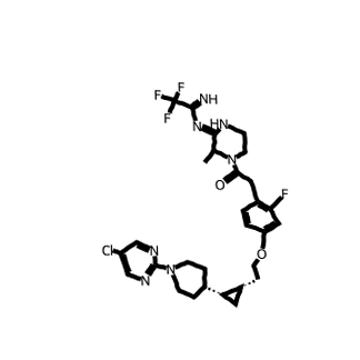 CC1/C(=N/C(=N)C(F)(F)F)NCCN1C(=O)Cc1ccc(OCC[C@@H]2C[C@@H]2C2CCN(c3ncc(Cl)cn3)CC2)cc1F